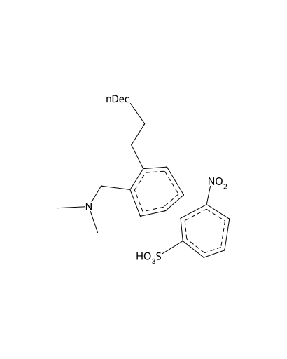 CCCCCCCCCCCCc1ccccc1CN(C)C.O=[N+]([O-])c1cccc(S(=O)(=O)O)c1